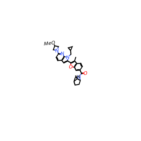 COC1CN(c2ccc3cc(-c4oc5cc(C(=O)N6CC7CCC6[C@@H]7C)ccc5c4C)n(CC4CC4)c3n2)C1